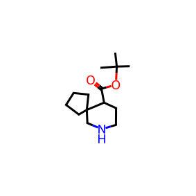 CC(C)(C)OC(=O)C1CCNCC12CCCC2